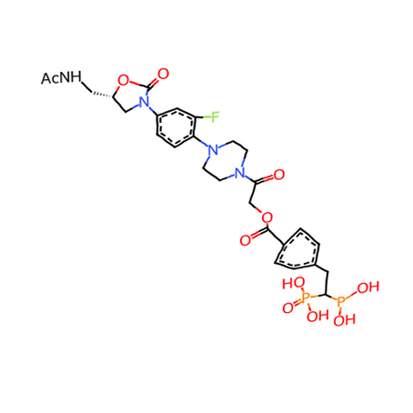 CC(=O)NC[C@H]1CN(c2ccc(N3CCN(C(=O)COC(=O)c4ccc(CC(P(O)O)P(=O)(O)O)cc4)CC3)c(F)c2)C(=O)O1